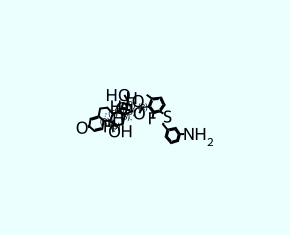 Cc1ccc(SCc2cccc(N)c2)c(F)c1[C@@H]1O[C@@H]2C[C@H]3[C@@H]4CCC5=CC(=O)C=C[C@]5(C)[C@H]4[C@@H](O)C[C@]3(C)[C@]2(C(=O)CO)O1